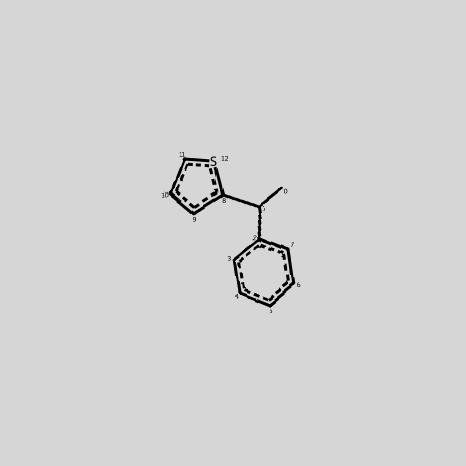 CC(c1ccccc1)c1cccs1